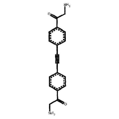 NCC(=O)c1ccc(C#Cc2ccc(C(=O)CN)cc2)cc1